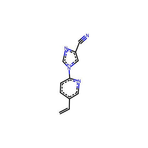 C=Cc1ccc(-n2cnc(C#N)c2)nc1